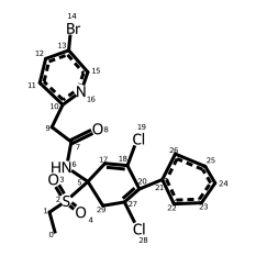 CCS(=O)(=O)C1(NC(=O)Cc2ccc(Br)cn2)C=C(Cl)C(c2ccccc2)=C(Cl)C1